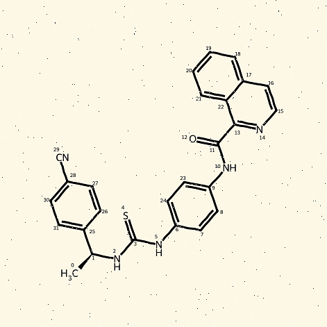 C[C@H](NC(=S)Nc1ccc(NC(=O)c2nccc3ccccc23)cc1)c1ccc(C#N)cc1